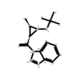 C=C([C@H]1[C@@H](C)N1SC(C)(C)C)n1nnc2ccccc21